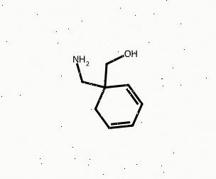 NCC1(CO)C=CC=CC1